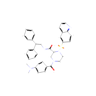 CN(C)c1ccc(C(=O)N2CCN(S(=O)(=O)c3ccc4ncccc4c3)C(C(=O)NCC(c3ccccc3)c3ccccc3)C2)cc1